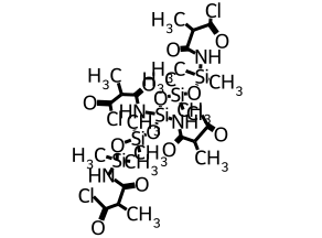 CC(C(=O)Cl)C(=O)N[Si](C)(C)O[Si](C)(C)O[Si](NC(=O)C(C)C(=O)Cl)(NC(=O)C(C)C(=O)Cl)O[Si](C)(C)O[Si](C)(C)NC(=O)C(C)C(=O)Cl